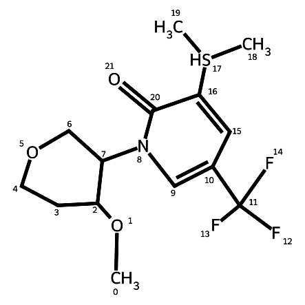 COC1CCOCC1n1cc(C(F)(F)F)cc([SH](C)C)c1=O